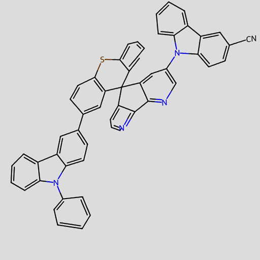 N#Cc1ccc2c(c1)c1ccccc1n2-c1cnc2c(c1)C1(c3ccccc3Sc3ccc(-c4ccc5c(c4)c4ccccc4n5-c4ccccc4)cc31)c1cccnc1-2